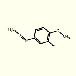 BB=Nc1ccc(OC)c(F)c1